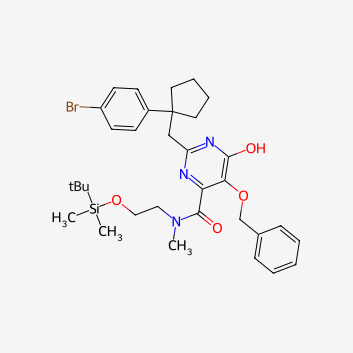 CN(CCO[Si](C)(C)C(C)(C)C)C(=O)c1nc(CC2(c3ccc(Br)cc3)CCCC2)nc(O)c1OCc1ccccc1